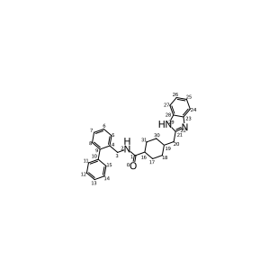 O=C(NCc1ccccc1-c1ccccc1)C1CCC(Cc2nc3ccccc3[nH]2)CC1